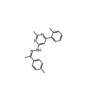 CC(=NNc1cc(-c2ccccc2C)nc(C)n1)c1ccc(C)cc1